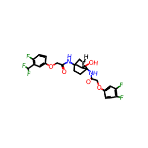 O=C(COc1ccc(F)c(C(F)F)c1)NC12CCC(NC(=O)COc3ccc(F)c(F)c3)(CC1)[C@@H](O)C2